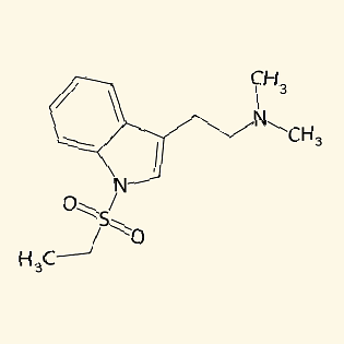 CCS(=O)(=O)n1cc(CCN(C)C)c2ccccc21